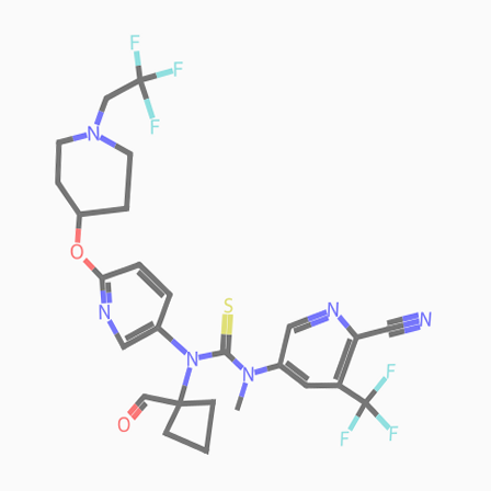 CN(C(=S)N(c1ccc(OC2CCN(CC(F)(F)F)CC2)nc1)C1(C=O)CCC1)c1cnc(C#N)c(C(F)(F)F)c1